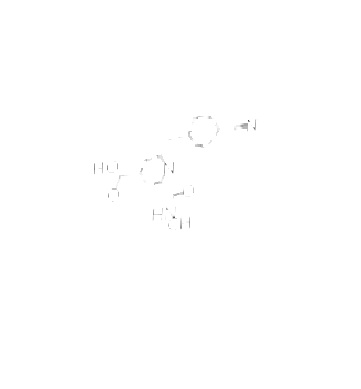 CNC(=O)c1cc(C(=O)O)cc(Cc2ccc(C#N)cc2)n1